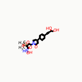 CC(CCn1ccc(-c2ccc(C#CC(O)CO)cc2)cc1=O)(C(=O)NO)S(C)(=O)=O